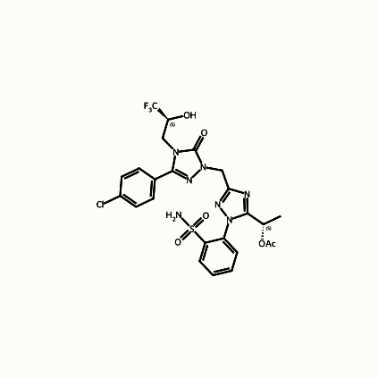 CC(=O)O[C@@H](C)c1nc(Cn2nc(-c3ccc(Cl)cc3)n(C[C@H](O)C(F)(F)F)c2=O)nn1-c1ccccc1S(N)(=O)=O